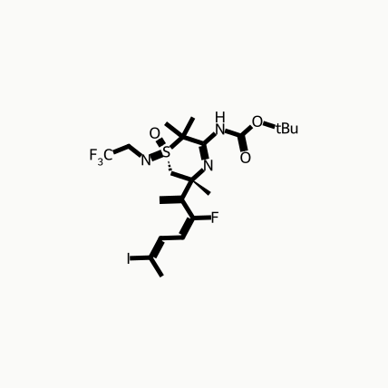 C=C(/C(F)=C\C=C(/C)I)[C@]1(C)C[S@@](=O)(=NCC(F)(F)F)C(C)(C)C(NC(=O)OC(C)(C)C)=N1